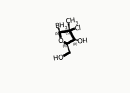 B[C@@H]1O[C@H](CO)[C@@H](O)[C@@]1(C)Cl